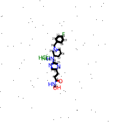 Cl.Cl.O=C(C=Cc1cnc(N[C@@H]2CCCN(Cc3ccc(F)cc3)C2)cn1)NO